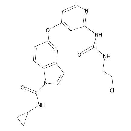 O=C(NCCCl)Nc1cc(Oc2ccc3c(ccn3C(=O)NC3CC3)c2)ccn1